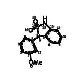 COc1cccc(N2c3ccccc3NS2(=O)=O)c1